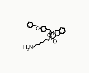 NCCCCCCCNC(=O)C1Cc2ccccc2CN1C(=O)Cc1ccc(OCc2ccccc2)cc1